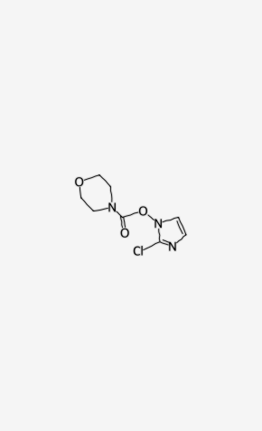 O=C(On1ccnc1Cl)N1CCOCC1